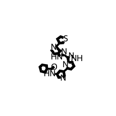 O=C(Nc1cncc(-c2ccc3[nH]nc(-c4nc5c(-c6ccsc6)nccc5[nH]4)c3n2)c1)c1ccccc1